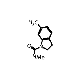 CNC(=O)N1CCc2ccc(C)cc21